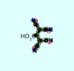 CN(C)C(=O)Sc1ccc(CSc2cc(CSc3cc(SCc4cc(SCc5ccc(SC(=O)N(C)C)cc5)cc(SCc5ccc(SC(=O)N(C)C)cc5)c4)cc(C(=O)O)c3)cc(SCc3ccc(SC(=O)N(C)C)cc3)c2)cc1